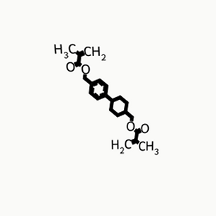 C=C(C)C(=O)OCc1ccc(C2CCC(COC(=O)C(=C)C)CC2)cc1